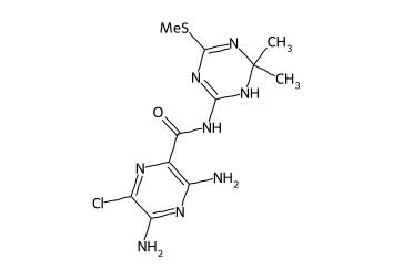 CSC1=NC(C)(C)NC(NC(=O)c2nc(Cl)c(N)nc2N)=N1